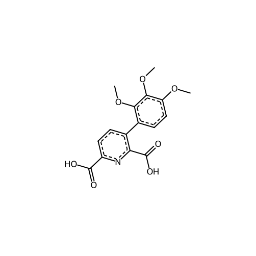 COc1ccc(-c2ccc(C(=O)O)nc2C(=O)O)c(OC)c1OC